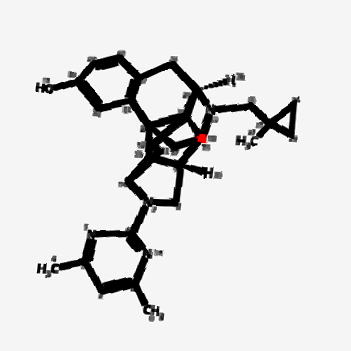 Cc1cc(C)nc(N2C[C@H]3C[C@@]45CCC2C3[C@@]42CCN(CC3(C)CC3)[C@@H]5Cc3ccc(O)cc32)n1